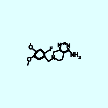 COc1cc(F)c(CN2CCc3c(N)ncnc3C2)cc1OC